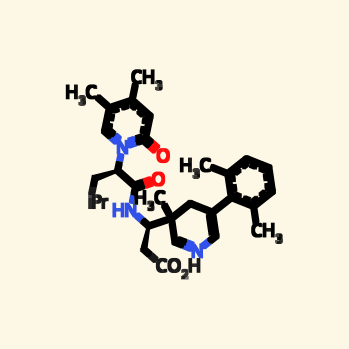 Cc1cc(=O)n([C@H](CC(C)C)C(=O)N[C@H](CC(=O)O)C2(C)C=NC=C(c3c(C)cccc3C)C2)cc1C